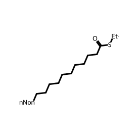 C[CH]SC(=O)CCCCCCCCCCCCCCCCCCC